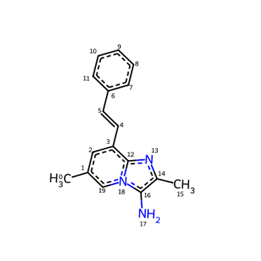 Cc1cc(C=Cc2ccccc2)c2nc(C)c(N)n2c1